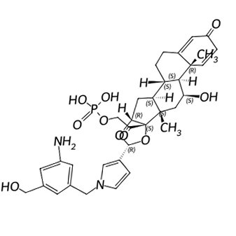 C[C@]12C=CC(=O)C=C1CC[C@@H]1[C@@H]2[C@@H](O)C[C@@]2(C)[C@H]1C[C@H]1O[C@@H](c3ccn(Cc4cc(N)cc(CO)c4)c3)O[C@]12C(=O)COP(=O)(O)O